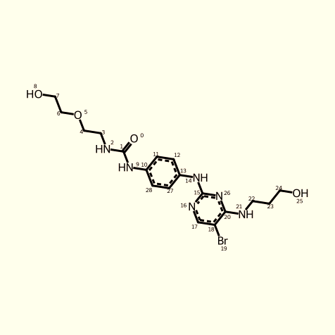 O=C(NCCOCCO)Nc1ccc(Nc2ncc(Br)c(NCCCO)n2)cc1